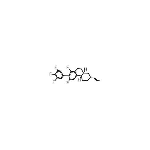 C/C=C/[C@@H]1CC[C@@H]2c3cc(F)c(-c4cc(F)c(F)c(F)c4)c(F)c3CC[C@@H]2C1